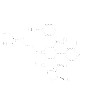 Cc1c(F)cccc1C1C(C(=O)c2cccc(O)c2)CN(CCCCN(C)C)CC1C(=O)N1[C@@H](C)CC[C@@H]1C